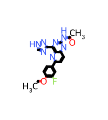 CCOc1ccc(-c2ccc3nc(NC(C)=O)nc(-c4nc[nH]n4)c3n2)cc1F